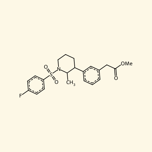 COC(=O)Cc1cccc(C2CCCN(S(=O)(=O)c3ccc(F)cc3)C2C)c1